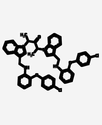 CC(C(=O)C(C)n1cc(CNc2ccccc2Oc2ccc(Cl)cc2)c2ccccc21)n1cc(CNc2ccccc2Oc2ccc(Cl)cc2)c2ccccc21